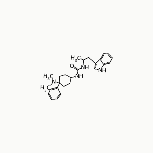 CC(Cc1c[nH]c2ccccc12)NC(=O)NC1CCC(c2ccccc2)(N(C)C)CC1